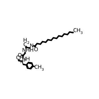 C=C[C@H](Cc1ccc(C)cc1)NC(=O)CNC(=C)CNC(=O)CCCCCCCCCCCCCCC